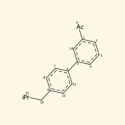 CC(=O)c1cccc(-c2ccc(CC(C)C)cc2)c1